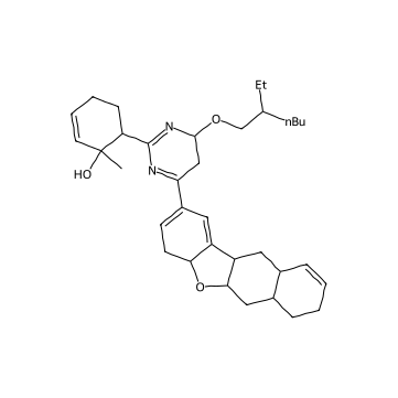 CCCCC(CC)COC1CC(C2=CCC3OC4CC5CCC=CC5CC4C3=C2)=NC(C2CCC=CC2(C)O)=N1